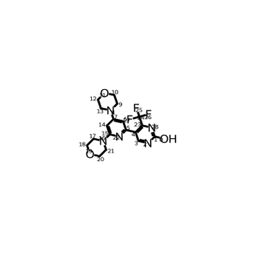 Oc1ncc(-c2cc(N3CCOCC3)cc(N3CCOCC3)n2)c(C(F)(F)F)n1